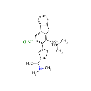 CC(C1=CCC(c2ccc3c([c]2[Zr+2][SiH](C)C)Cc2ccccc2-3)=C1)N(C)C.[Cl-].[Cl-]